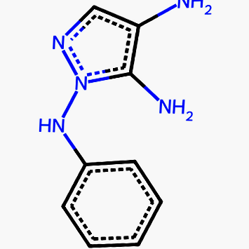 Nc1cnn(Nc2ccccc2)c1N